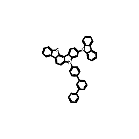 c1ccc(-c2cccc(-c3ccc(-n4c5cc(-n6c7ccccc7c7ccccc76)ccc5c5c6sc7ccccc7c6ccc54)cc3)c2)cc1